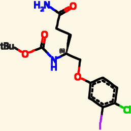 CC(C)(C)OC(=O)N[C@@H](CCC(N)=O)COc1ccc(Cl)c(I)c1